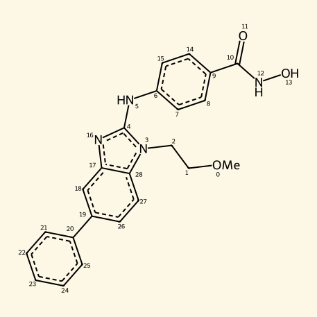 COCCn1c(Nc2ccc(C(=O)NO)cc2)nc2cc(-c3ccccc3)ccc21